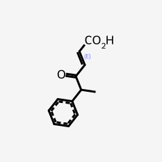 CC(C(=O)/C=C/C(=O)O)c1ccccc1